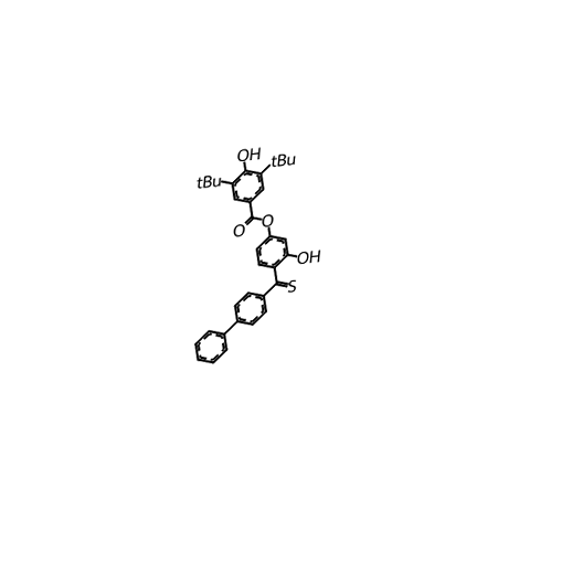 CC(C)(C)c1cc(C(=O)Oc2ccc(C(=S)c3ccc(-c4ccccc4)cc3)c(O)c2)cc(C(C)(C)C)c1O